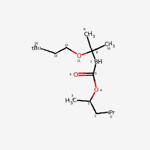 CC(C)CC(C)OC(=O)BC(C)(C)OCCC(C)(C)C